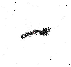 C[C@H]1CCCN1Cc1nc2cc(NC(=O)c3ccc(C4CCN(CCCC5CCN(c6cccc7c6C(=O)N(C6CCC(=O)NC6=O)C7=O)CC5)CC4)cc3)ccc2[nH]1